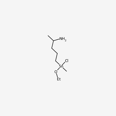 CC[O][Sn]([CH3])([Cl])[CH2]CCC(C)N